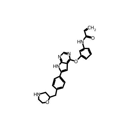 C=CC(=O)Nc1cccc(Oc2ncnc3[nH]c(-c4ccc(CC5CNCCO5)cc4)cc23)c1